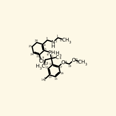 CCNCC1=C(PC(C)(CC)c2cc(I)ccc2OCOC)C(C)=CCC1